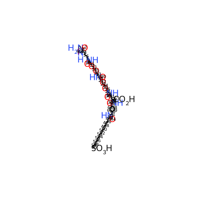 NC(=O)[C@H](CCCCNC(=O)COCCOCCNC(=O)COCCOCCNC(=O)CC[C@H](NC(=O)C1CCC(CNC(=O)CCCCCCCCCCCCCCCS(=O)(=O)O)CC1)C(=O)O)NI